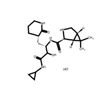 CC1(C)[C@@H]2[C@@H](C(=O)N[C@@H](C[C@@H]3CCCNC3=O)C(O)C(=O)NC3CC3)NC[C@@H]21.Cl